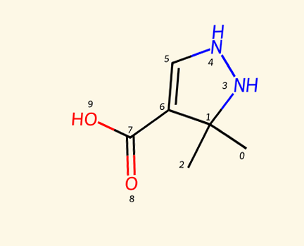 CC1(C)NNC=C1C(=O)O